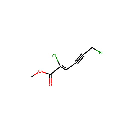 COC(=O)C(Cl)=CC#CCBr